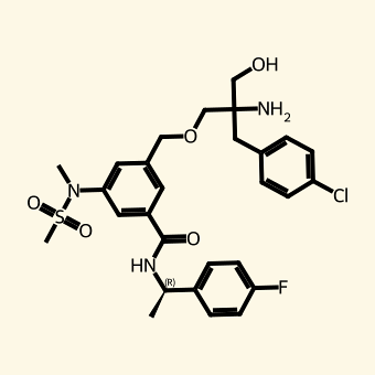 C[C@@H](NC(=O)c1cc(COCC(N)(CO)Cc2ccc(Cl)cc2)cc(N(C)S(C)(=O)=O)c1)c1ccc(F)cc1